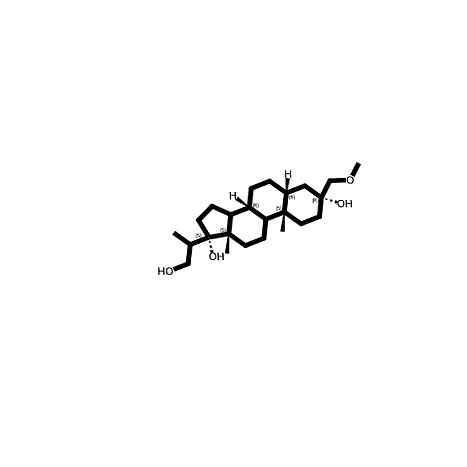 COC[C@@]1(O)CC[C@]2(C)C3CC[C@@]4(C)C(CC[C@]4(O)C(C)CO)[C@@H]3CC[C@@H]2C1